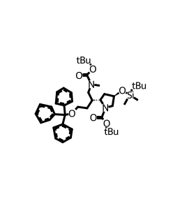 CN(CC(CCOC(c1ccccc1)(c1ccccc1)c1ccccc1)[C@@H]1C[C@@H](O[Si](C)(C)C(C)(C)C)CN1C(=O)OC(C)(C)C)C(=O)OC(C)(C)C